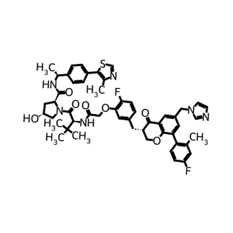 Cc1cc(F)ccc1-c1cc(Cn2ccnc2)cc2c1OC[C@H](Cc1ccc(F)c(OCC(=O)N[C@H](C(=O)N3C[C@H](O)C[C@H]3C(=O)N[C@@H](C)c3ccc(-c4scnc4C)cc3)C(C)(C)C)c1)C2=O